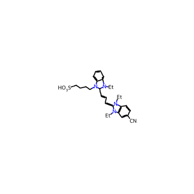 CCN1C(=CC=CC2N(CC)c3ccccc3N2CCCCS(=O)(=O)O)N(CC)c2cc(C#N)ccc21